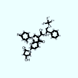 O=C(NC(COC(F)(F)F)c1ccccc1)c1cn(-c2ccc(F)cc2F)c2nc(N3CC(O)CC3=O)ccc2c1=O